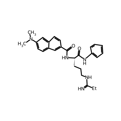 CCC(=N)NCCC[C@H](NC(=O)c1ccc2cc(N(C)C)ccc2c1)C(=O)Nc1ccccc1